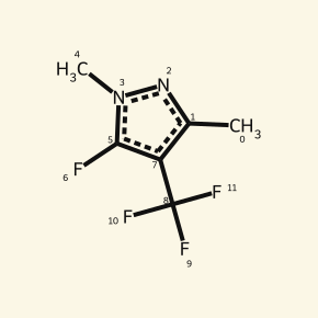 Cc1nn(C)c(F)c1C(F)(F)F